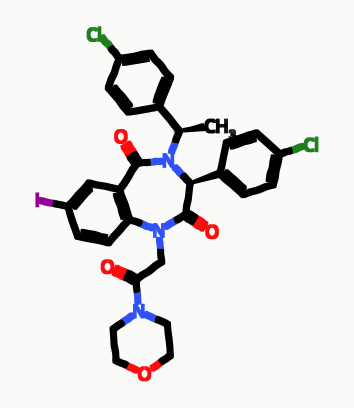 C[C@H](c1ccc(Cl)cc1)N1C(=O)c2cc(I)ccc2N(CC(=O)N2CCOCC2)C(=O)[C@@H]1c1ccc(Cl)cc1